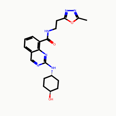 Cc1nnc(CCNC(=O)c2cccc3cnc(N[C@H]4CC[C@H](O)CC4)nc23)o1